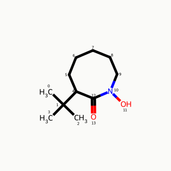 CC(C)(C)C1CCCCCN(O)C1=O